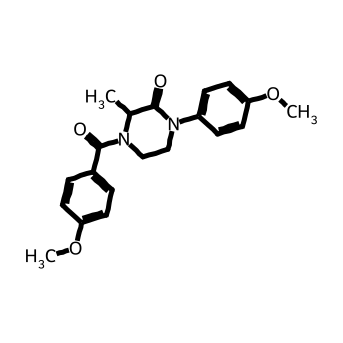 COc1ccc(C(=O)N2CCN(c3ccc(OC)cc3)C(=O)C2C)cc1